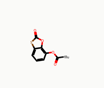 CC(C)(C)C(=O)Oc1cccc2sc(=O)oc12